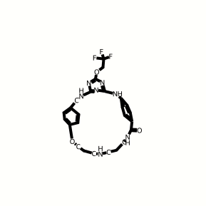 O=C1NCCCNCCCOc2ccc(cc2)CNc2nc(nc(OCC(F)(F)F)n2)Nc2ccc1cc2